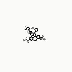 CCNC(=O)c1ccc2c(c1)CCc1cc(C(=O)NCC)ccc1C2(C[C@@H](NCC(=O)N1[C@H](C#N)C[C@@H]2C[C@@H]21)C1CCCC1)c1nnn[nH]1